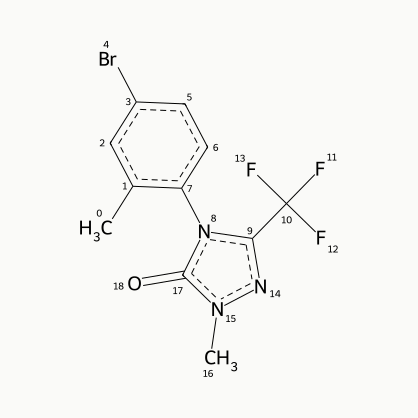 Cc1cc(Br)ccc1-n1c(C(F)(F)F)nn(C)c1=O